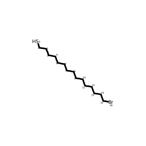 SCCCCCCCCCCCCCCCBr